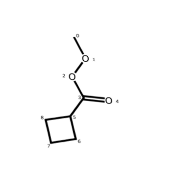 COOC(=O)C1CCC1